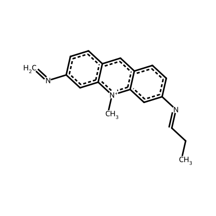 C=Nc1ccc2cc3ccc(N=CCC)cc3[n+](C)c2c1